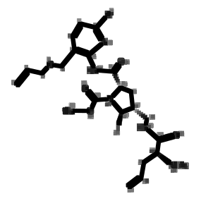 C=CCOCc1ccc(Br)nc1NC(=O)[C@@H]1C[C@H](CNC(=O)[C@H](CC=C)NC(C)=O)[C@@H](I)N1C(=O)OC(C)(C)C